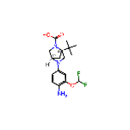 CC(C)(C)[C@@]12C[C@H](CN1C(=O)O)N(c1ccc(N)c(OC(F)F)c1)C2